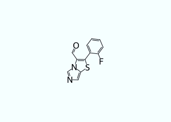 O=Cc1c(-c2ccccc2F)sc2cncn12